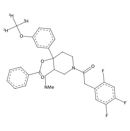 [2H]C([2H])([2H])Oc1cccc(C2(OC(=O)c3ccccc3)CCN(C(=O)Cc3cc(F)c(F)cc3F)CC2CNC)c1